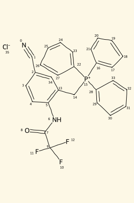 N#Cc1ccc(NC(=O)C(F)(F)F)c(C[P+](c2ccccc2)(c2ccccc2)c2ccccc2)c1.[Cl-]